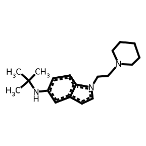 CC(C)(C)Nc1ccc2c(ccn2CCN2CCCCC2)c1